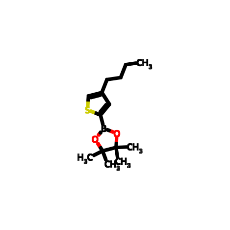 CCCCc1csc(B2OC(C)(C)C(C)(C)O2)c1